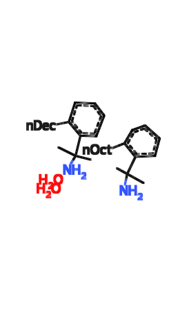 CCCCCCCCCCc1ccccc1C(C)(C)N.CCCCCCCCc1ccccc1C(C)(C)N.O.O